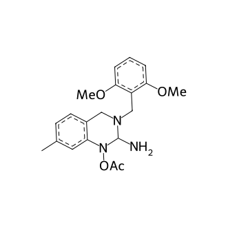 COc1cccc(OC)c1CN1Cc2ccc(C)cc2N(OC(C)=O)C1N